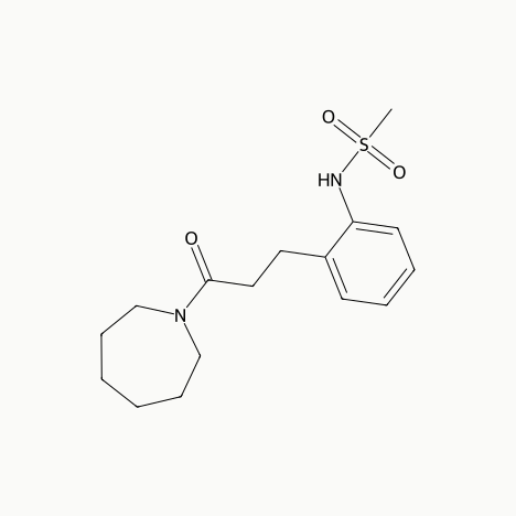 CS(=O)(=O)Nc1ccccc1CCC(=O)N1CCCCCC1